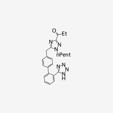 CCCCCn1nc(C(=O)CC)nc1Cc1ccc(-c2ccccc2-c2nnn[nH]2)cc1